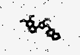 COc1cc2ncnc(N3CC([SiH3])C(Oc4cnc5ccccc5n4)C3)c2cc1OC